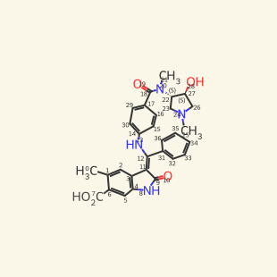 Cc1cc2c(cc1C(=O)O)NC(=O)C2=C(Nc1ccc(C(=O)N(C)[C@H]2CN(C)C[C@@H]2O)cc1)c1ccccc1